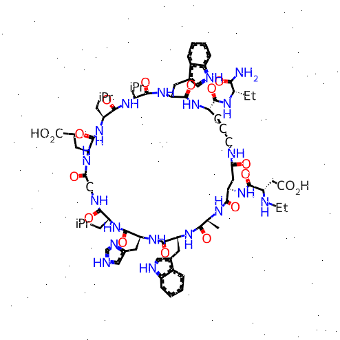 CCN[C@@H](CC(=O)O)C(=O)N[C@H]1CC(=O)NCCC[C@@H](C(=O)N[C@@H](CC)C(N)=O)NC(=O)[C@H](Cc2c[nH]c3ccccc23)NC(=O)C(C(C)C)NC(=O)[C@H](CC(C)C)NC(=O)[C@H](CCC(=O)O)NC(=O)CNC(=O)[C@H](CC(C)C)NC(=O)[C@H](Cc2c[nH]cn2)NC(=O)[C@H](Cc2c[nH]c3ccccc23)NC(=O)[C@H](C)NC1=O